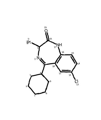 CC(C)C1N=C(C2CCCCC2)c2cc(Cl)ccc2NC1=O